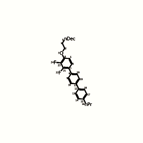 CCCCCCCCCCCCOc1ccc(-c2ccc(-c3ccc(CCC)cc3)cc2)c(F)c1F